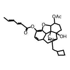 C/C=C/C=C/C(=O)OC1=C2OC3C(OC(C)=O)CCC4(O)C5CC(C=C1)C2C34CCN5CC1CCC1